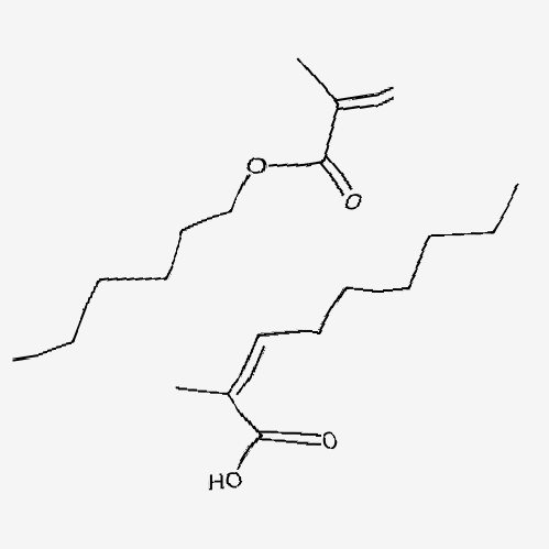 C=C(C)C(=O)OCCCCCC.CCCCCCC=C(C)C(=O)O